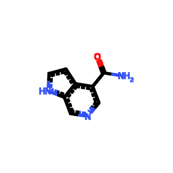 NC(=O)c1cncc2[nH]ccc12